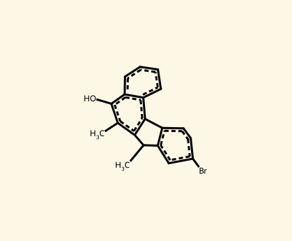 Cc1c2c(c3ccccc3c1O)-c1ccc(Br)cc1C2C